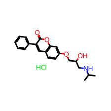 CC(C)NCC(O)COc1ccc2cc(-c3ccccc3)c(=O)oc2c1.Cl